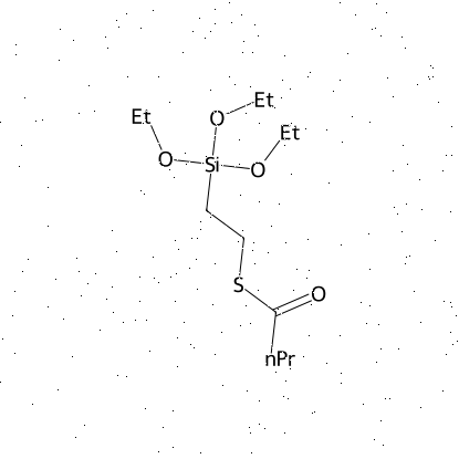 CCCC(=O)SCC[Si](OCC)(OCC)OCC